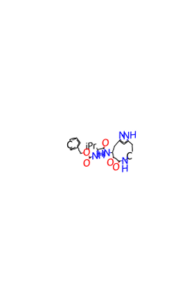 CC(C)C(NC(=O)OCc1ccccc1)C(=O)NC1Cc2cc([nH]n2)CCCNC(=O)C1=O